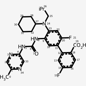 Cc1cnc(NC(=O)Nc2cc(-c3cc(F)ccc3C(=O)O)c(F)cc2N(CC(C)C)C2CCCCC2)cn1